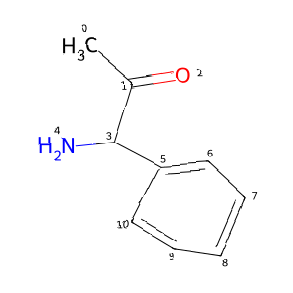 CC(=O)C(N)c1ccccc1